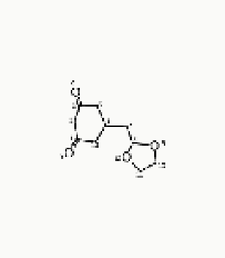 O=C1CC(=O)CC(CC2OCCO2)C1